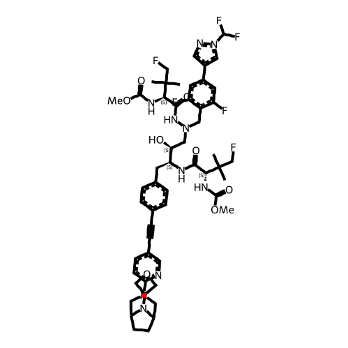 COC(=O)N[C@H](C(=O)N[C@@H](Cc1ccc(C#Cc2ccc(N3CC4CCC(C3)N4C3COC3)nc2)cc1)[C@@H](O)CN(Cc1c(F)cc(-c2cnn(C(F)F)c2)cc1F)NC(=O)[C@@H](NC(=O)OC)C(C)(C)CF)C(C)(C)CF